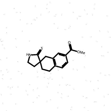 COC(=O)c1ccc2c(c1)CC1(CCNC1=S)CC2